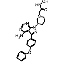 Nc1ncnc2c1c(-c1ccc(Oc3ccccc3)cc1)nn2[C@@H]1CCCN(CC(=O)NO)C1